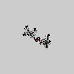 C=C(C)C(=O)OCCNC(=O)N(CCOC(=O)C(=C)C)C(=O)N(CCOC(=O)C(=C)C)C(=O)OCCC1CCC2C1C1CCC2(COC(=O)N(CCOC(=O)C(=C)C)C(=O)N(CCOC(=O)C(=C)C)C(=O)NCCOC(=O)C(=C)C)C1